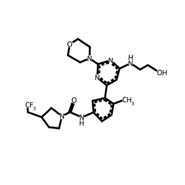 Cc1ccc(NC(=O)N2CCC(CC(F)(F)F)C2)cc1-c1cc(NCCO)nc(N2CCOCC2)n1